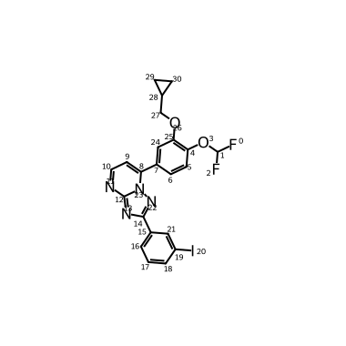 FC(F)Oc1ccc(-c2ccnc3nc(-c4cccc(I)c4)nn23)cc1OCC1CC1